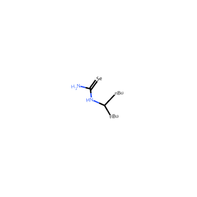 CCCCC(CCCC)NC(N)=[Se]